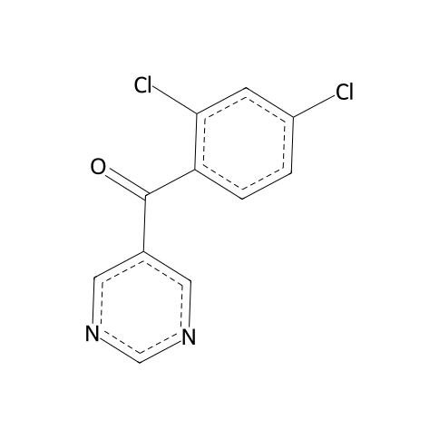 O=C(c1cncnc1)c1ccc(Cl)cc1Cl